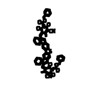 CC1=C(C#N)C(=O)N(C(=O)OCc2ccccc2)C(=O)/C1=C\C1=Cc2cc3sc4cc5c(cc4c3cc2C12CCCCC2)C1(CCCCC1)C(/C=C1/C(=O)N(C(=O)OCc2ccccc2)C(=O)C(C#N)=C1C)=C5